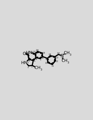 CC1CNc2c1c1cc(-c3cccc(CN(C)C)c3)ccc1[nH]c2=O